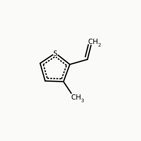 C=Cc1sccc1C